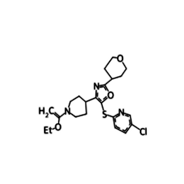 C=C(OCC)N1CCC(c2nc(C3CCOCC3)oc2Sc2ccc(Cl)cn2)CC1